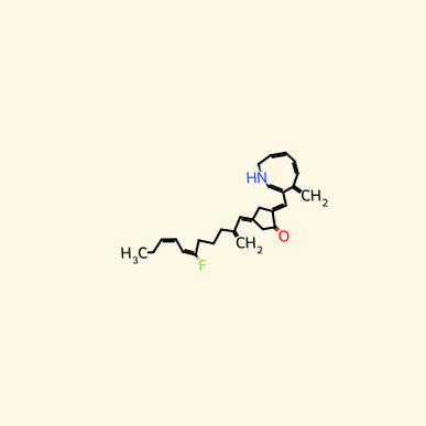 C=C(/C=C1\CC(=O)/C(=C/C2=C/NC/C=C\C=C/C2=C)C1)CCC/C(F)=C\C=C/CC